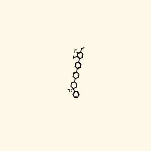 CCc1ccc(-c2ccc(C3=CCC(C4CCC(OC)(c5ccccc5)CC4)CC3)cc2)c(F)c1F